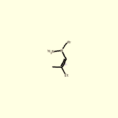 CC/C(C)=C/N(N)C(C)C